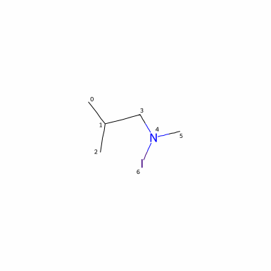 CC(C)CN(C)I